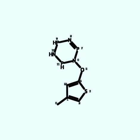 Cc1csc(On2pn[pH][nH][pH]2)c1